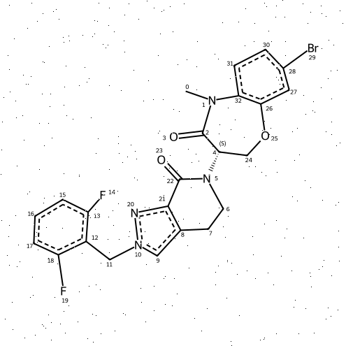 CN1C(=O)[C@@H](N2CCc3cn(Cc4c(F)cccc4F)nc3C2=O)COc2cc(Br)ccc21